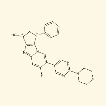 O[C@@H]1C[C@H](c2ccccc2)c2c1nc1cc(F)c(-c3cnc(N4CCOCC4)nc3)cn21